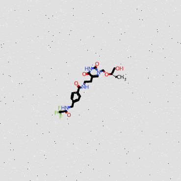 CC[C@@H](CO)OCn1cc(CCNC(=O)c2ccc(CNC(=O)C(F)(F)F)cc2)c(=O)[nH]c1=O